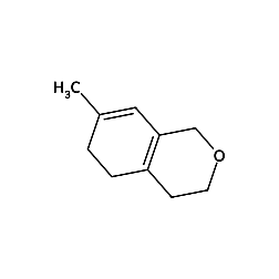 CC1=CC2=C(CCOC2)CC1